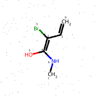 C=C/C(Br)=C(/O)NC